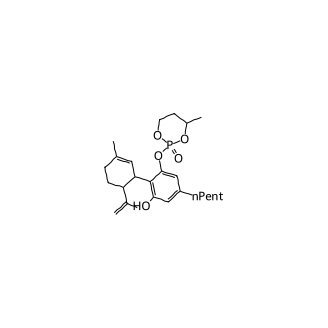 C=C(C)C1CCC(C)=CC1c1c(O)cc(CCCCC)cc1OP1(=O)OCCC(C)O1